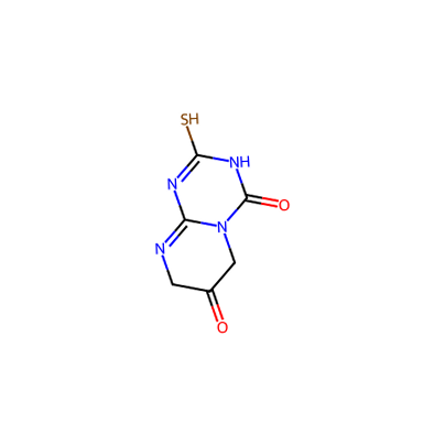 O=C1CN=C2N=C(S)NC(=O)N2C1